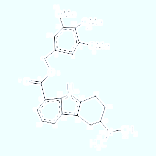 COc1cc(COC(=O)c2cccc3c4c([nH]c23)CCC(N(C)C)C4)cc(OC)c1OC